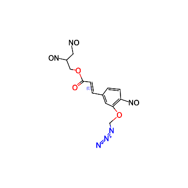 [N-]=[N+]=NCOc1cc(/C=C/C(=O)OCC(CN=O)N=O)ccc1N=O